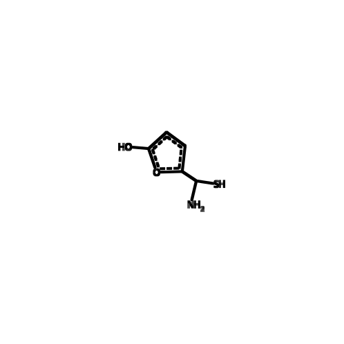 NC(S)c1ccc(O)o1